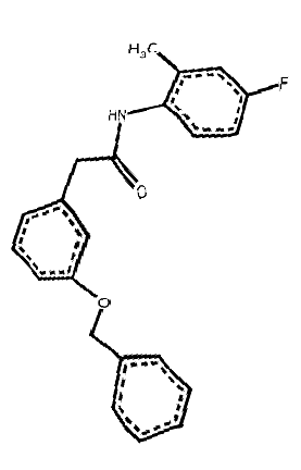 Cc1cc(F)ccc1NC(=O)Cc1cccc(OCc2ccccc2)c1